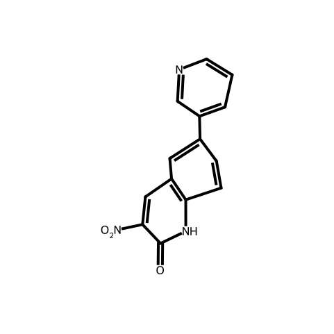 O=c1[nH]c2ccc(-c3cccnc3)cc2cc1[N+](=O)[O-]